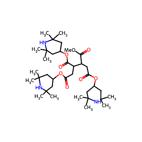 COC(=O)C(CC(=O)OC1CC(C)(C)NC(C)(C)C1)C(CC(=O)OC1CC(C)(C)NC(C)(C)C1)C(=O)OC1CC(C)(C)NC(C)(C)C1